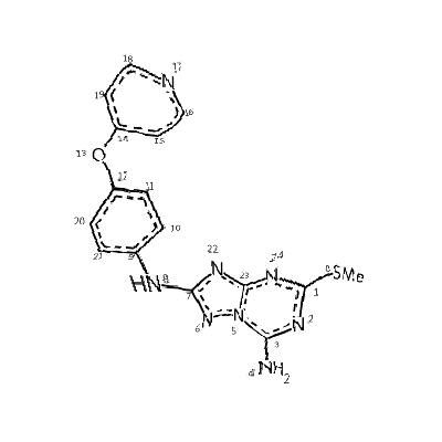 CSc1nc(N)n2nc(Nc3ccc(Oc4ccncc4)cc3)nc2n1